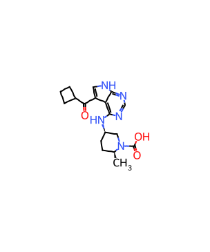 C[C@H]1CC[C@@H](Nc2ncnc3[nH]cc(C(=O)C4CCC4)c23)CN1C(=O)O